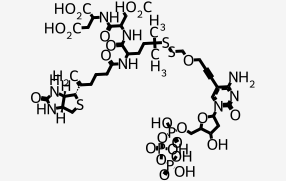 C=C(CCCC(=O)NC(CCC(C)(C)SSCOCC#Cc1cn(C2CC(O)C(COP(=O)(O)OP(=O)(O)OP(=O)(O)O)O2)c(=O)nc1N)C(=O)NC(CC(=O)O)C(=O)NC(CC(=O)O)C(=O)O)[C@@H]1SC[C@@H]2NC(=O)N[C@@H]21